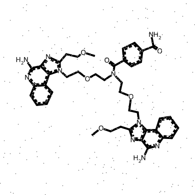 COCCc1nc2c(N)nc3ccccc3c2n1CCOCCN(CCOCCn1c(CCOC)nc2c(N)nc3ccccc3c21)C(=O)c1ccc(C(N)=O)cc1